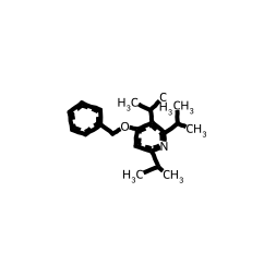 CC(C)c1cc(OCc2ccccc2)c(C(C)C)c(C(C)C)n1